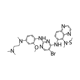 COc1cc(N(C)CCN(C)C)ccc1Nc1ncc(Br)c(Nc2ccc3nccnc3c2N(C)SC)n1